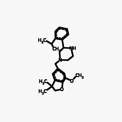 COc1cc(CN2CCNC(c3ccccc3C(C)C)C2)cc2c1OCC2(C)C